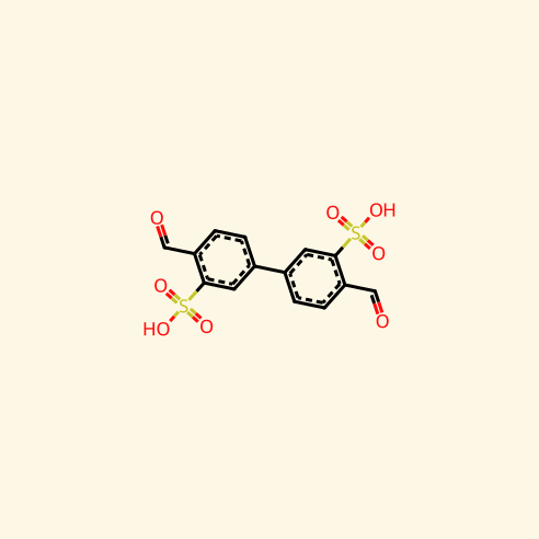 O=Cc1ccc(-c2ccc(C=O)c(S(=O)(=O)O)c2)cc1S(=O)(=O)O